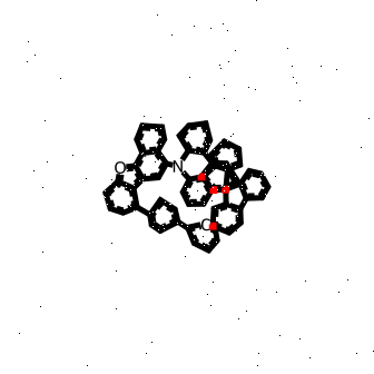 c1ccc(-c2ccc(-c3cccc4oc5c6ccccc6c(N(c6ccccc6-c6ccccc6)c6cccc7c6-c6ccccc6C76c7ccccc7-c7ccccc76)cc5c34)cc2)cc1